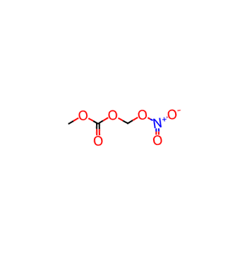 COC(=O)OCO[N+](=O)[O-]